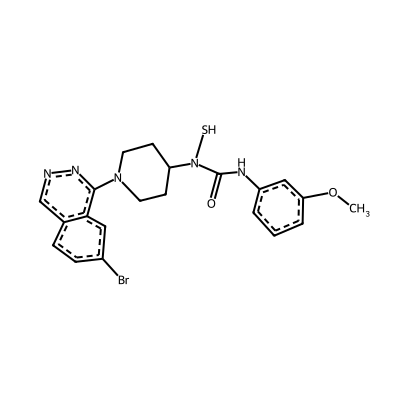 COc1cccc(NC(=O)N(S)C2CCN(c3nncc4ccc(Br)cc34)CC2)c1